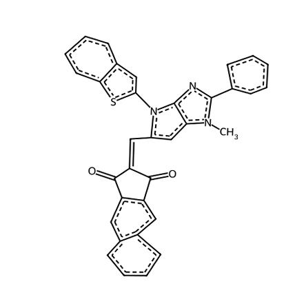 Cn1c(-c2ccccc2)nc2c1cc(C=C1C(=O)c3cc4ccccc4cc3C1=O)n2-c1cc2ccccc2s1